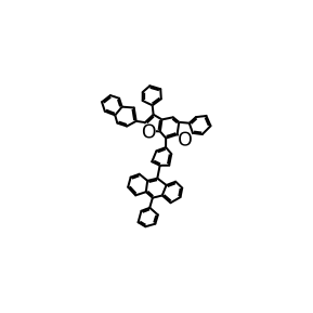 c1ccc(-c2c3ccccc3c(-c3ccc(-c4c5oc(-c6ccc7ccccc7c6)c(-c6ccccc6)c5cc5c4oc4ccccc45)cc3)c3ccccc23)cc1